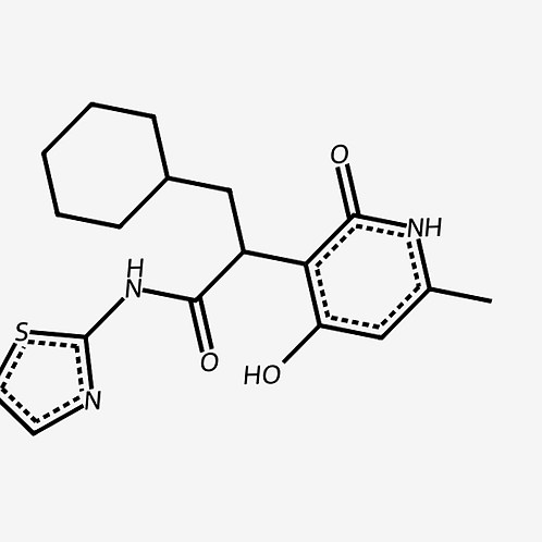 Cc1cc(O)c(C(CC2CCCCC2)C(=O)Nc2nccs2)c(=O)[nH]1